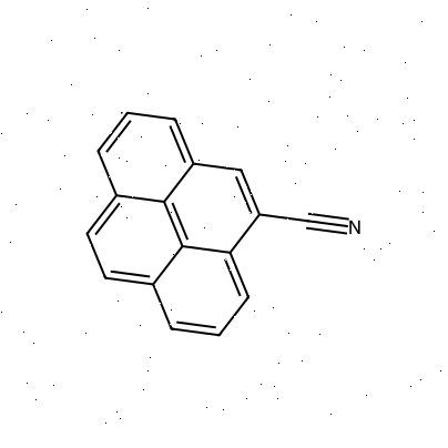 N#Cc1cc2c[c]cc3ccc4cccc1c4c32